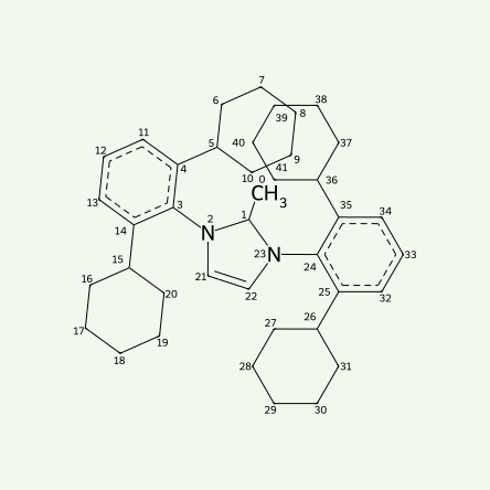 CC1N(c2c(C3CCCCC3)cccc2C2CCCCC2)C=CN1c1c(C2CCCCC2)cccc1C1CCCCC1